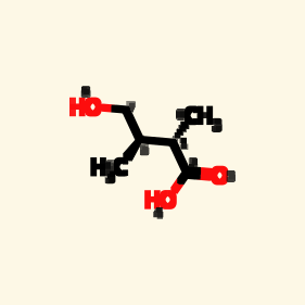 C[C@H](C(=O)O)[C@@H](C)CO